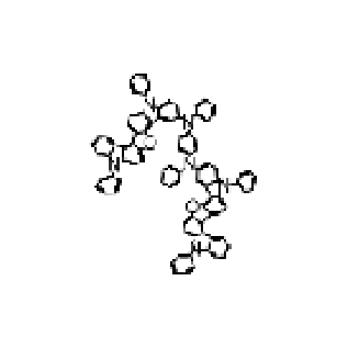 c1ccc(N(c2ccc(N(c3ccccc3)c3ccc4c(c3)c3c5oc6ccc7c(c8ccccc8n7-c7ccccc7)c6c5ccc3n4-c3ccccc3)cc2)c2ccc3c(c2)c2c4oc5ccc6c(c7ccccc7n6-c6ccccc6)c5c4ccc2n3-c2ccccc2)cc1